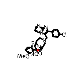 COc1ccc(F)c(C(=O)N2C3CCN(Cc4c(-c5ccc(Cl)cc5)nc5ncccn45)CC2CC(=O)C3)n1